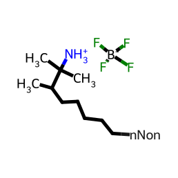 CCCCCCCCCCCCCCC(C)C(C)(C)[NH3+].F[B-](F)(F)F